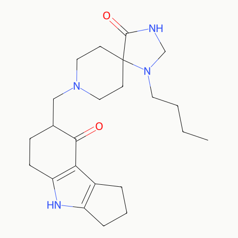 CCCCN1CNC(=O)C12CCN(CC1CCc3[nH]c4c(c3C1=O)CCC4)CC2